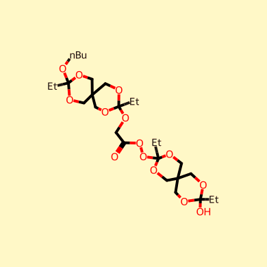 CCCCOC1(CC)OCC2(CO1)COC(CC)(OCC(=O)OOC1(CC)OCC3(COC(O)(CC)OC3)CO1)OC2